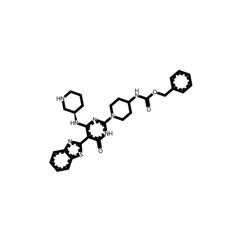 O=C(NC1CCN(c2nc(N[C@@H]3CCCNC3)c(-c3nc4ccccc4s3)c(=O)[nH]2)CC1)OCc1ccccc1